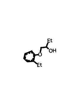 CCc1ccccc1OCC(O)CC